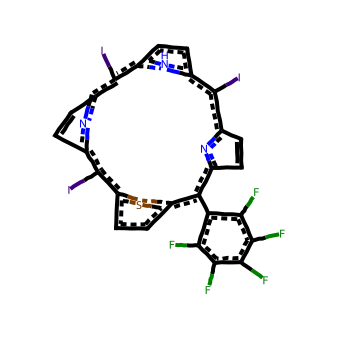 Fc1c(F)c(F)c(-c2c3nc(c(I)c4ccc([nH]4)c(I)c4nc(c(I)c5ccc2s5)C=C4)C=C3)c(F)c1F